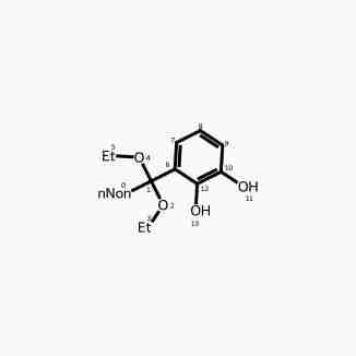 CCCCCCCCCC(OCC)(OCC)c1cccc(O)c1O